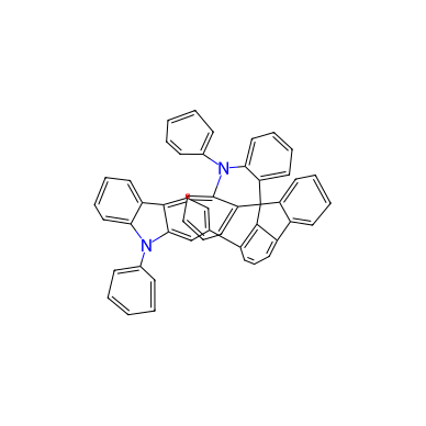 c1ccc(N2c3ccccc3C3(c4ccccc4-c4cccc(-c5ccc6c7ccccc7n(-c7ccccc7)c6c5)c43)c3ccccc32)cc1